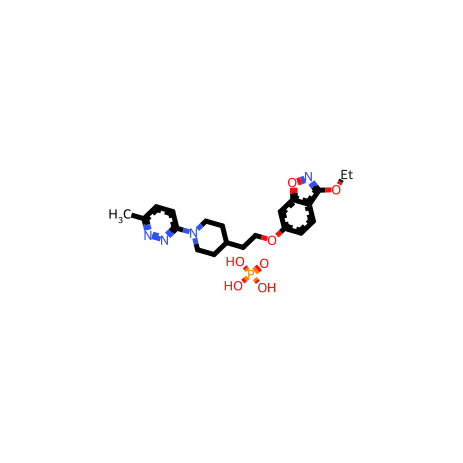 CCOc1noc2cc(OCCC3CCN(c4ccc(C)nn4)CC3)ccc12.O=P(O)(O)O